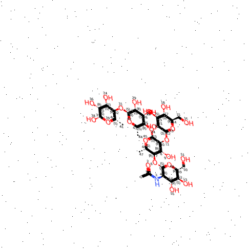 CC(=O)N[C@H]1[C@H](O[C@@H]2[C@@H](O)[C@@H](O[C@@H]3O[C@H](CO)[C@@H](O)[C@H](O)[C@H]3O)[C@H](O[C@@H]3[C@@H](O)[C@@H](O)[C@H](O[C@@H]4[C@@H](O)[C@@H](O)[C@@H](O)O[C@H]4C)O[C@H]3C)O[C@H]2C)O[C@H](CO)[C@@H](O)[C@@H]1O